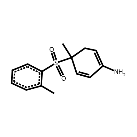 Cc1ccccc1S(=O)(=O)C1(C)C=CC(N)=CC1